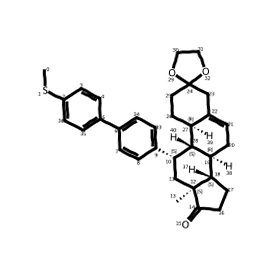 CSc1ccc(-c2ccc([C@H]3C[C@]4(C)C(=O)CC[C@H]4[C@@H]4CC=C5CC6(CC[C@@H]5[C@H]43)OCCO6)cc2)cc1